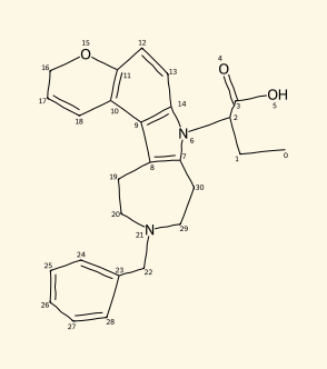 CCC(C(=O)O)n1c2c(c3c4c(ccc31)OCC=C4)CCN(Cc1ccccc1)CC2